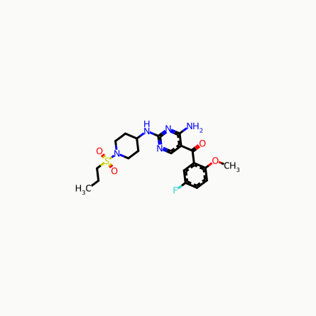 CCCS(=O)(=O)N1CCC(Nc2ncc(C(=O)c3cc(F)ccc3OC)c(N)n2)CC1